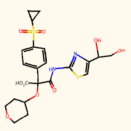 O=C(O)C(OC1CCOCC1)(C(=O)Nc1nc(C(O)CO)cs1)c1ccc(S(=O)(=O)C2CC2)cc1